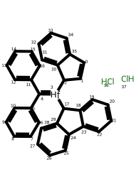 C1=C[CH]([Hf](=[C](c2ccccc2)c2ccccc2)[CH]2c3ccccc3-c3ccccc32)c2ccccc21.Cl.Cl